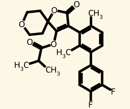 Cc1ccc(-c2ccc(F)c(F)c2)c(C)c1C1=C(OC(=O)C(C)C)C2(CCOCC2)OC1=O